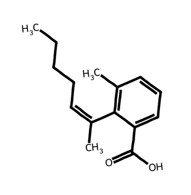 CCCC/C=C(/C)c1c(C)cccc1C(=O)O